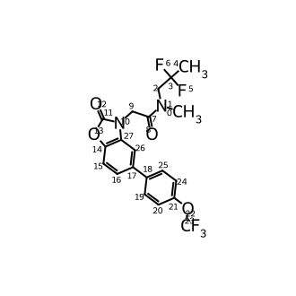 CN(CC(C)(F)F)C(=O)Cn1c(=O)oc2ccc(-c3ccc(OC(F)(F)F)cc3)cc21